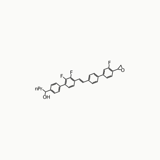 CCCC(O)c1ccc(-c2ccc(/C=C/c3ccc(-c4ccc(C5CO5)c(F)c4)cc3)c(F)c2F)cc1